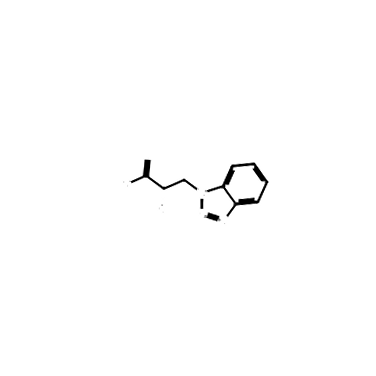 NC(=O)[C@@H](N)Cn1nnc2ccccc21